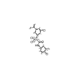 C=C(F)c1cc(Cl)cc(C2C(C(=O)Nc3ccc(Cl)c(C)c3)C2(Cl)Cl)c1